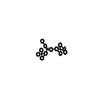 c1ccc(-c2ccc(N(c3ccc(-c4ccc5c(c4)-c4ccccc4C54c5ccccc5-c5sc6ccccc6c54)cc3)c3ccc4c(c3)C(c3ccccc3)(c3ccccc3)c3ccccc3-4)cc2)cc1